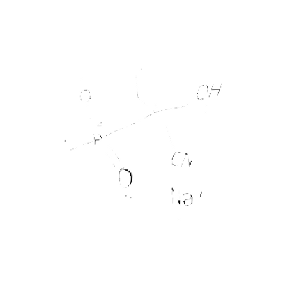 CC(O)(C#N)P(C)(=O)[O-].[Na+]